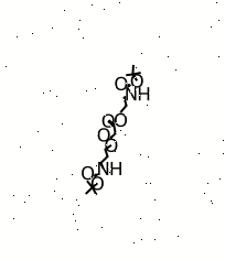 CC(C)(C)OC(=O)NCCCOC(=O)CC(=O)OCCCNC(=O)OC(C)(C)C